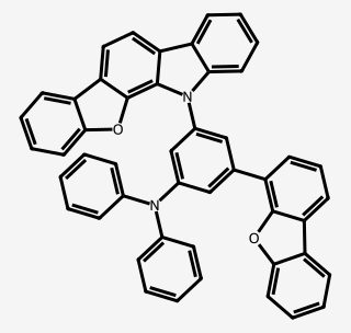 c1ccc(N(c2ccccc2)c2cc(-c3cccc4c3oc3ccccc34)cc(-n3c4ccccc4c4ccc5c6ccccc6oc5c43)c2)cc1